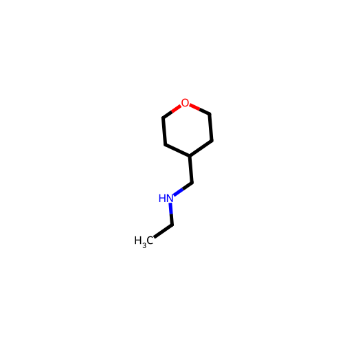 CCNCC1CCOCC1